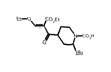 CCO/C=C(\C(=O)OCC)C(=O)C1CCN(C(=O)O)C(C(C)(C)C)C1